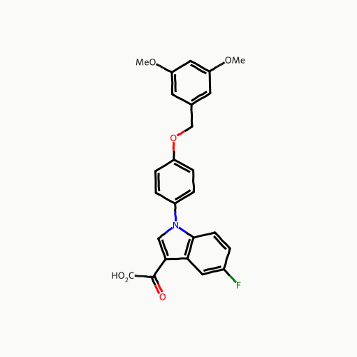 COc1cc(COc2ccc(-n3cc(C(=O)C(=O)O)c4cc(F)ccc43)cc2)cc(OC)c1